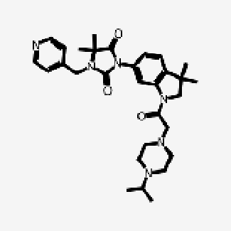 CC(C)N1CCN(CC(=O)N2CC(C)(C)c3ccc(N4C(=O)N(Cc5ccncc5)C(C)(C)C4=O)cc32)CC1